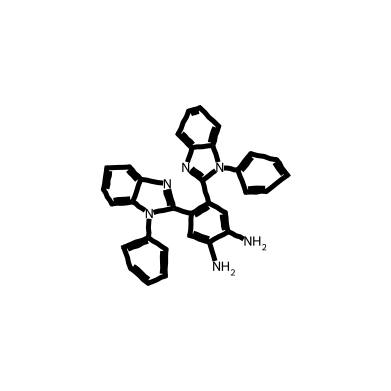 Nc1cc(-c2nc3ccccc3n2-c2ccccc2)c(-c2nc3ccccc3n2-c2ccccc2)cc1N